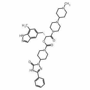 Cc1cc(C[C@@H](OC(=O)N2CCC(n3nc(-c4ccccc4)[nH]c3=O)CC2)C(=O)N2CCN(C3CCN(C)CC3)CC2)cc2cn[nH]c12